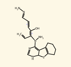 C=C/C(=C(O)\C=C\C=NN)N(N)C1=C2C3=C(CCCC3)SC2NC=N1